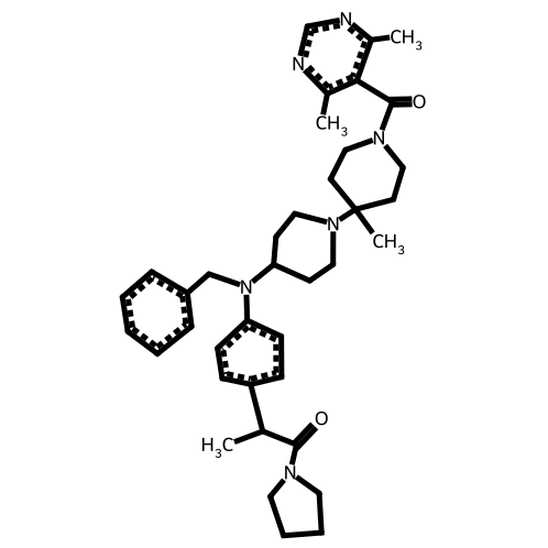 Cc1ncnc(C)c1C(=O)N1CCC(C)(N2CCC(N(Cc3ccccc3)c3ccc(C(C)C(=O)N4CCCC4)cc3)CC2)CC1